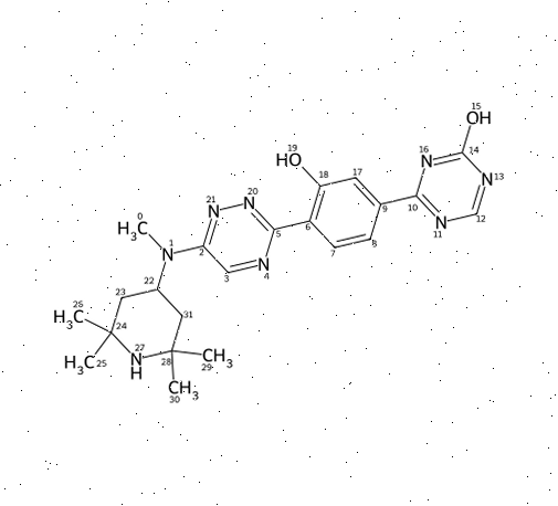 CN(c1cnc(-c2ccc(-c3ncnc(O)n3)cc2O)nn1)C1CC(C)(C)NC(C)(C)C1